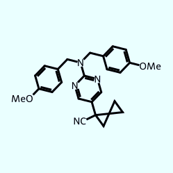 COc1ccc(CN(Cc2ccc(OC)cc2)c2ncc(C3(C#N)CC34CC4)cn2)cc1